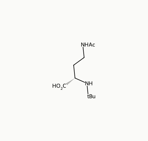 CC(=O)NCC[C@H](NC(C)(C)C)C(=O)O